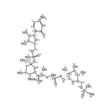 CC(=O)NC1C(O)CC(OP(=O)(O)OCC2OC(n3ccc(N)nc3=O)C(O)C2O)(C(=O)O)OC1[C@H](O)[C@H](O)CNC(=O)CO[C@H]1OC(COP(=O)(O)O)[C@@H](O)C(O)[C@H]1O